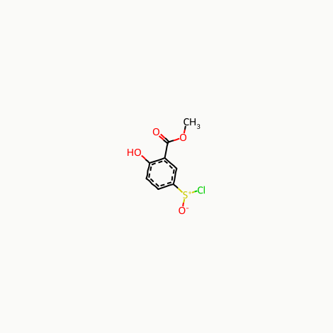 COC(=O)c1cc([S+]([O-])Cl)ccc1O